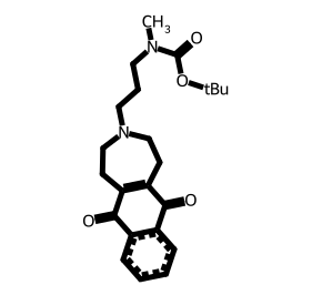 CN(CCCN1CCC2=C(CC1)C(=O)c1ccccc1C2=O)C(=O)OC(C)(C)C